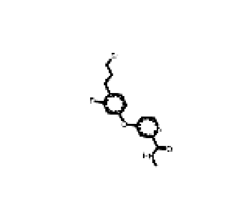 CNC(=O)c1cc(Oc2ccc(CCCBr)c(F)c2)ccn1